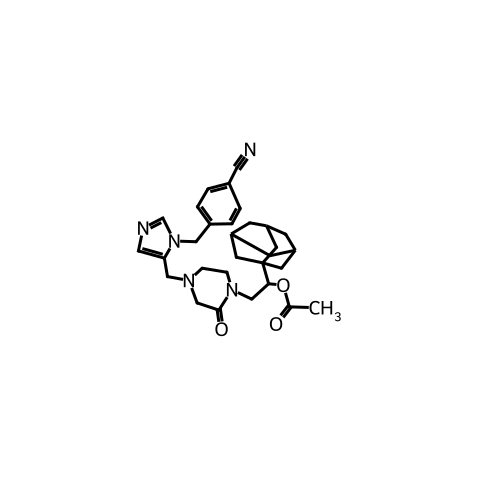 CC(=O)OC(CN1CCN(Cc2cncn2Cc2ccc(C#N)cc2)CC1=O)C12CC3CC(CC(C3)C1)C2